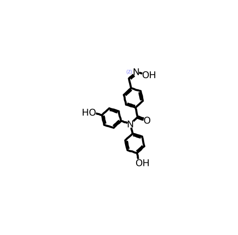 O=C(c1ccc(/C=N\O)cc1)N(c1ccc(O)cc1)c1ccc(O)cc1